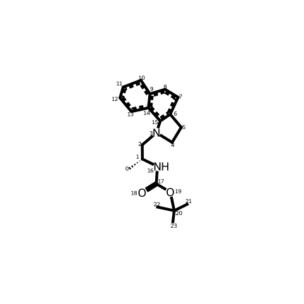 C[C@H](CN1CCc2ccc3ccccc3c21)NC(=O)OC(C)(C)C